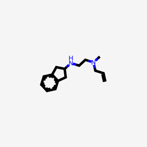 C=CCN(C)CCNC1Cc2ccccc2C1